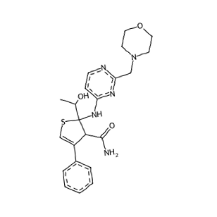 CC(O)C1(Nc2ccnc(CN3CCOCC3)n2)SC=C(c2ccccc2)C1C(N)=O